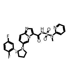 CN(c1ccccn1)S(=O)(=O)NC(=O)c1cnc2ccc(N3CCC[C@@H]3c3cc(F)ccc3F)cn12